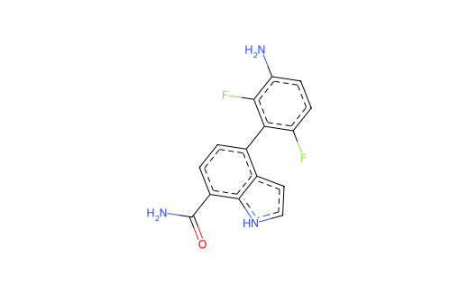 NC(=O)c1ccc(-c2c(F)ccc(N)c2F)c2cc[nH]c12